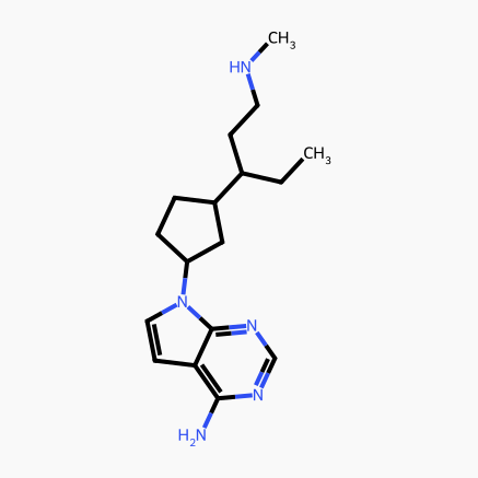 CCC(CCNC)C1CCC(n2ccc3c(N)ncnc32)C1